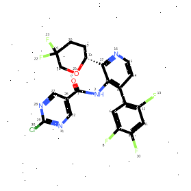 O=C(Nc1c(-c2cc(F)c(F)cc2F)ccnc1[C@H]1CCC(F)(F)CO1)c1cnc(Cl)nc1